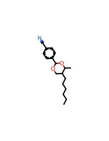 CCCCCCC1COC(c2ccc(C#N)cc2)OC1C